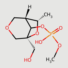 COP(=O)(O)OC1[C@@H]2COC[C@]1(CO)O[C@H]2C